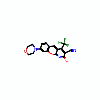 N#Cc1c(C(F)(F)F)c2cc3ccc(N4CCOCC4)cc3oc-2nc1=O